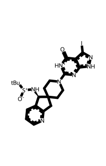 CC(C)(C)[S+]([O-])N[C@@H]1c2cccnc2CC12CCN(c1nc3[nH]nc(I)c3c(=O)[nH]1)CC2